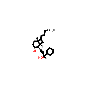 CC(O)(C#C[C@@H]1[C@H]2C/C(=C\CCC(=O)O)[C@H]2CC[C@H]1O)C1CCCCC1